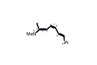 CN/C(C)=C/C=C\C=CC(C)C